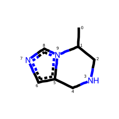 CC1CNCc2cncn21